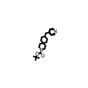 CC(C)(C)OC(=O)N1CCC2(CCC(Cc3ccncc3)CC2)CC1